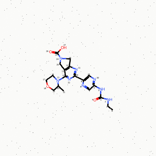 CCNC(=O)Nc1cnc(-c2nc3c(c(N4CCOCC4C)n2)CN(C(=O)O)C3)cn1